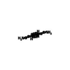 NCCOCCOCCNC(=O)[C@@H](O)[C@H](O)[C@H](O)[C@@H](O)C(=O)NCCOCCOCCN